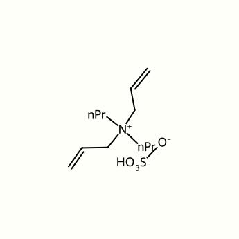 C=CC[N+](CC=C)(CCC)CCC.O=S(=O)([O-])O